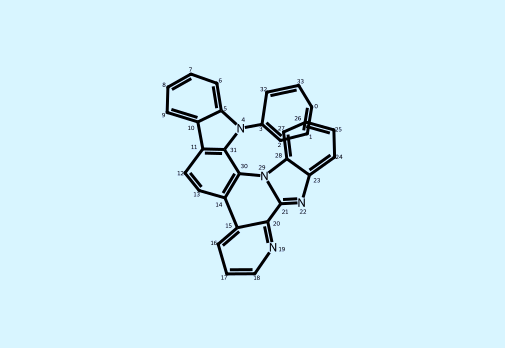 c1ccc(-n2c3ccccc3c3ccc4c5cccnc5c5nc6ccccc6n5c4c32)cc1